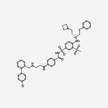 CS(=O)(=O)c1cc(S(=O)(=O)NC(=O)c2ccc(NCCNCc3ccccc3-c3ccc(Cl)cc3)cc2)ccc1N[C@H](CCN1CCC1)CSc1ccccc1